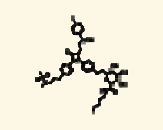 CCCCCNC(=O)[C@H]1OC(CCc2ccc([C@@H]3C(CC[C@H](O)c4ccc(F)cc4)C(=O)N3c3ccc(CCCN(C)S(C)(=O)=O)cc3)cc2)[C@H](O)[C@@H](O)[C@@H]1O